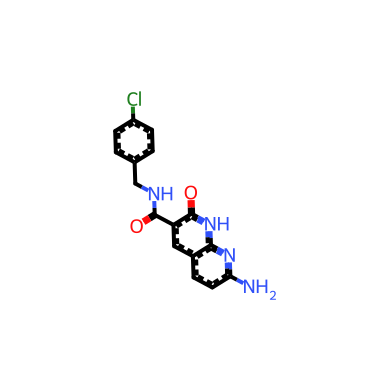 Nc1ccc2cc(C(=O)NCc3ccc(Cl)cc3)c(=O)[nH]c2n1